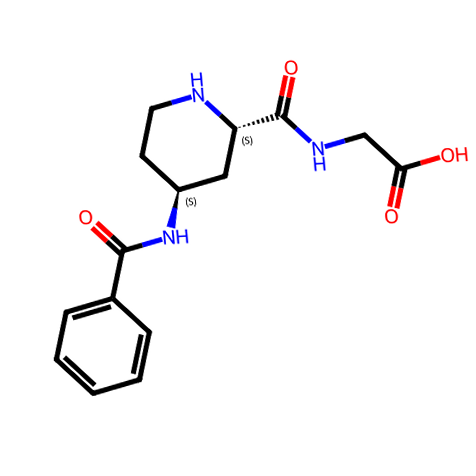 O=C(O)CNC(=O)[C@@H]1C[C@@H](NC(=O)c2ccccc2)CCN1